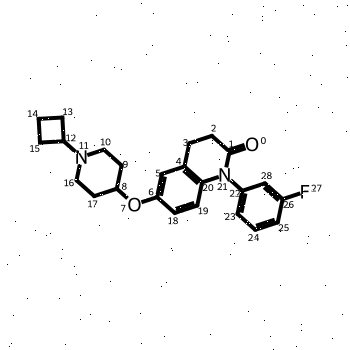 O=C1CCc2cc(OC3CCN(C4CCC4)CC3)ccc2N1c1cccc(F)c1